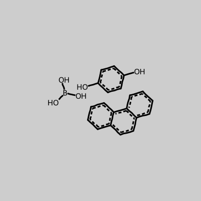 OB(O)O.Oc1ccc(O)cc1.c1ccc2c(c1)ccc1ccccc12